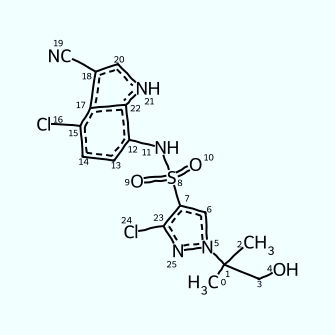 CC(C)(CO)n1cc(S(=O)(=O)Nc2ccc(Cl)c3c(C#N)c[nH]c23)c(Cl)n1